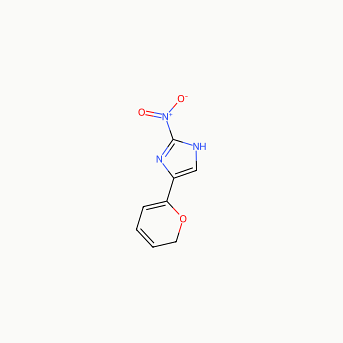 O=[N+]([O-])c1nc(C2=CC=CCO2)c[nH]1